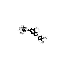 CC1(O)CC(n2cc3cc(B4OC(C)(C)C(C)(C)O4)cc(C(F)(F)F)c3n2)C1